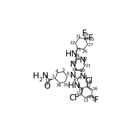 NC(=O)[C@H]1CC[C@H](n2c(Nc3c(Cl)cc(F)cc3Cl)nc3cnc(NC4CCC(F)(F)CC4)nc32)CC1